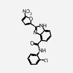 O=C(Nc1ccccc1Cl)c1cccc2[nH]c(-c3ccc([N+](=O)[O-])o3)nc12